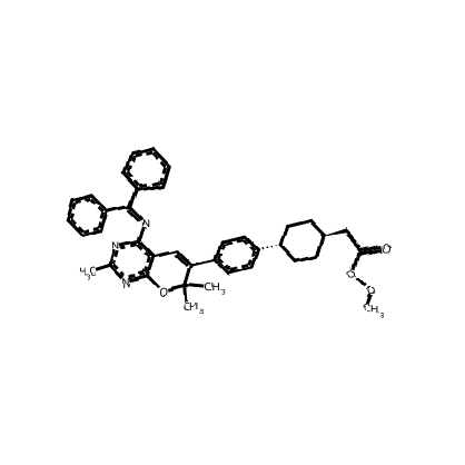 COOC(=O)C[C@H]1CC[C@H](c2ccc(C3=Cc4c(N=C(c5ccccc5)c5ccccc5)nc(C)nc4OC3(C)C)cc2)CC1